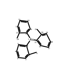 Cc1ccccc1[As](c1ccccc1C)c1ccccc1C